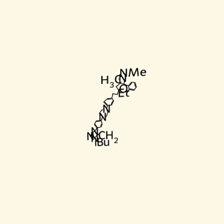 C=C1N(c2ccc(N3CCN(c4ccc(CCC5CCC(CN(C)NC)(c6ccccc6CC)O5)cc4)CC3)cc2)C=NN1C(C)CC